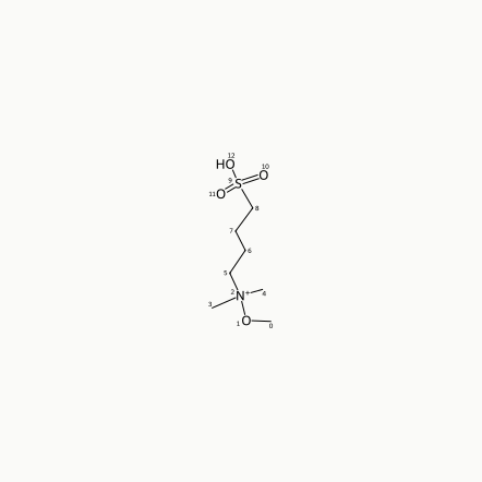 CO[N+](C)(C)CCCCS(=O)(=O)O